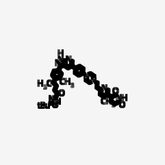 Cc1cc(CCN2CCN(c3ccc(-c4cnc5[nH]nc(-c6ccc([C@@H](C)CCC(=O)c7noc(C(C)(C)C)n7)c(C)c6)c5c4)cc3)CC2)ncc1C1CCC(=O)NC1=O